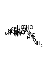 Cn1c(-c2cn(C3CC3)nc2C(F)(F)F)cnc1C(=O)Nc1ccc(C(=O)N2CCN(C(=O)N[C@@H]3CC[C@@H](N)C3)CC2)c(Cl)c1.O=CO